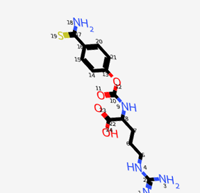 C/N=C(\N)NCCCC(NC(=O)Oc1ccc(C(N)=S)cc1)C(=O)O